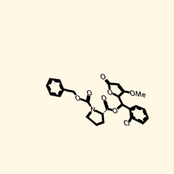 COC1=CC(=O)OC1C(OC(=O)[C@@H]1CCCN1C(=O)OCc1ccccc1)c1ccccc1Cl